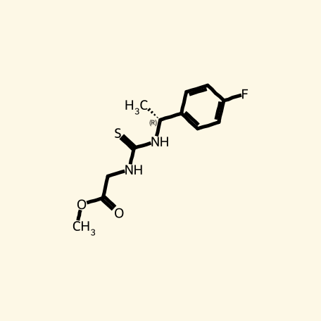 COC(=O)CNC(=S)N[C@H](C)c1ccc(F)cc1